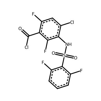 O=C(Cl)c1c(F)cc(Cl)c(NS(=O)(=O)c2c(F)cccc2F)c1F